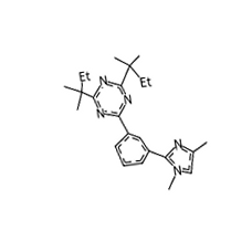 CCC(C)(C)c1nc(-c2cccc(-c3nc(C)cn3C)c2)nc(C(C)(C)CC)n1